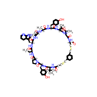 CCC1NC(=O)[C@@H]2CCCN2C(=O)[C@H](Cc2ccc(O)cc2)NC(=O)C(C(C)(C)C)NC(=O)CCSCc2cccc(c2)CSC[C@@H](C=O)NC(=O)C2NC(=O)[C@@](C)(NC(=O)[C@H](Cc3ccc(O)cc3)NC(=O)[C@H](C)NC(=O)C(C)(C)NC(=O)[C@H](Cc3c[nH]c4ncccc34)NC1=O)C(C)O[C@H]2C